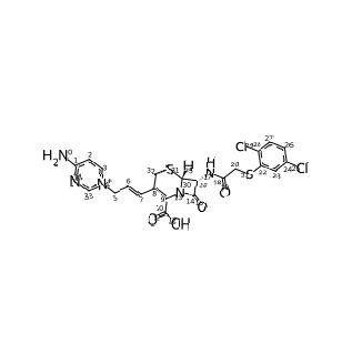 Nc1cc[n+](C/C=C/C2=C(C(=O)O)N3C(=O)[C@@H](NC(=O)CSc4cc(Cl)ccc4Cl)[C@H]3SC2)cn1